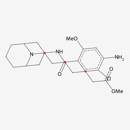 COC(=O)CCCCCCN1C2CCCC1CC(NC(=O)c1cc(Cl)c(N)cc1OC)C2